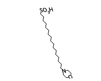 O=S(=O)(O)CCCCCCCCCCCCCCCCCN1CCOCC1